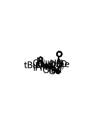 CC[C@H](C)[C@@H]([C@@H](CC(=O)N1CCC[C@H]1C(OC)[C@@H](C)C(=O)NCCC1C=CC=CC=C1)OC)N(C)C(=O)[C@@H](NC(=O)[C@]1(C)CCCN1C(=O)OC(C)(C)C)C(C)C